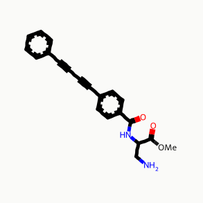 COC(=O)C(CN)NC(=O)c1ccc(C#CC#Cc2ccccc2)cc1